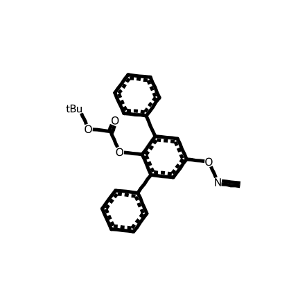 C=NOc1cc(-c2ccccc2)c(OC(=O)OC(C)(C)C)c(-c2ccccc2)c1